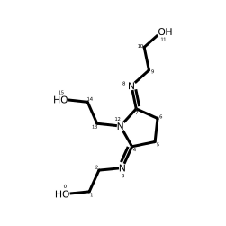 OCCN=C1CCC(=NCCO)N1CCO